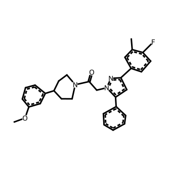 COc1cccc(C2CCN(C(=O)Cn3nc(-c4ccc(F)c(C)c4)cc3-c3ccccc3)CC2)c1